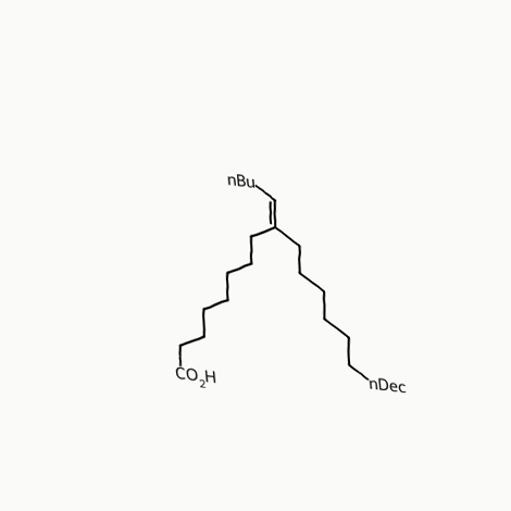 CCCCC=C(CCCCCCCCCCCCCCCC)CCCCCCCC(=O)O